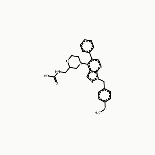 COc1ccc(Cn2ncc3c(N4CCOC(CNC(=O)O)C4)c(-c4ccccc4)cnc32)cc1